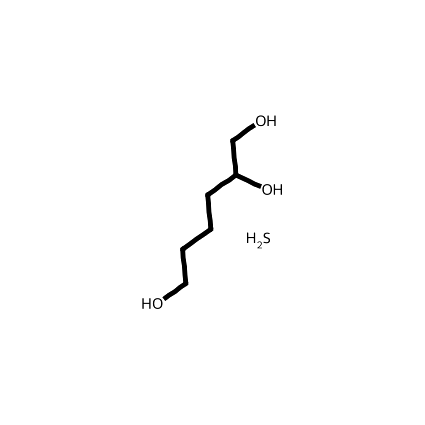 OCCCCC(O)CO.S